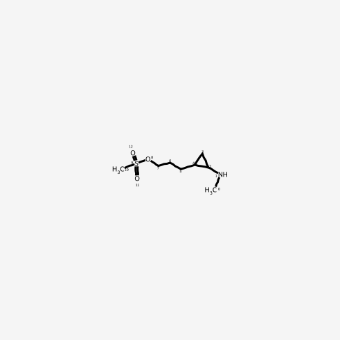 CNC1CC1CCCOS(C)(=O)=O